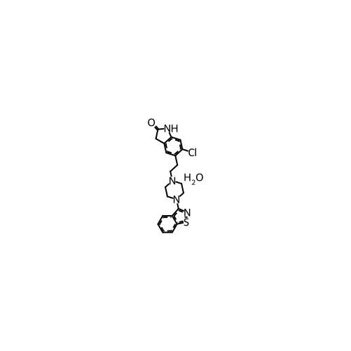 O.O=C1Cc2cc(CCN3CCN(c4nsc5ccccc45)CC3)c(Cl)cc2N1